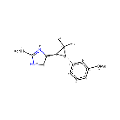 COc1cccc([C@@H]2[C@@H](C3CNC(NC(C)=O)=N3)C2(C)C)c1